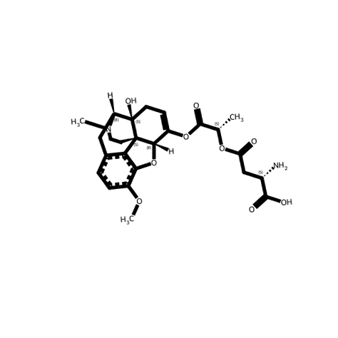 COc1ccc2c3c1O[C@H]1C(OC(=O)[C@H](C)OC(=O)C[C@H](N)C(=O)O)=CC[C@@]4(O)[C@@H](C2)N(C)CC[C@]314